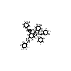 O=C1N(C(c2ccccc2)c2ccccc2)c2ccccc2C1(O)c1ccc(OCc2ccccc2)cc1OCc1ccccc1